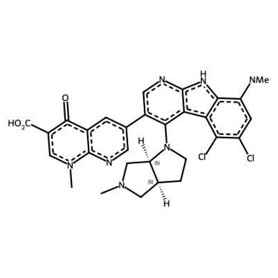 CNc1cc(Cl)c(Cl)c2c1[nH]c1ncc(-c3cnc4c(c3)c(=O)c(C(=O)O)cn4C)c(N3CC[C@H]4CN(C)C[C@H]43)c12